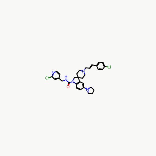 O=C(NCc1ccnc(Cl)c1)N1CC2(CCN(CC=Cc3ccc(Cl)cc3)CC2)c2cc(N3CCCC3)ccc21